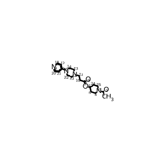 CC(=O)N1CCC(OC(=O)CCN2CCN(c3ccncc3)CC2)CC1